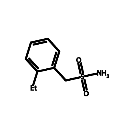 CCc1ccccc1CS(N)(=O)=O